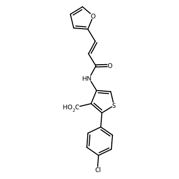 O=C(/C=C/c1ccco1)Nc1csc(-c2ccc(Cl)cc2)c1C(=O)O